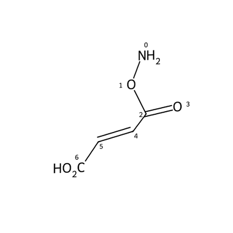 NOC(=O)/C=C/C(=O)O